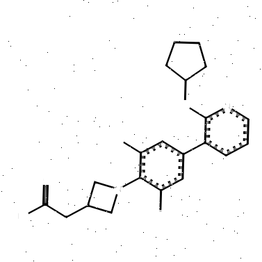 O=C(O)CC1CN(c2c(F)cc(-c3cccnc3OC3CCCC3)cc2F)C1